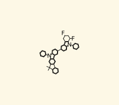 CC1(C)c2ccccc2-c2cc3c4cc(-c5ccc6c(c5)c5c(n6-c6ccccc6)C(F)CC(F)C5)ccc4n(-c4ccccc4)c3cc21